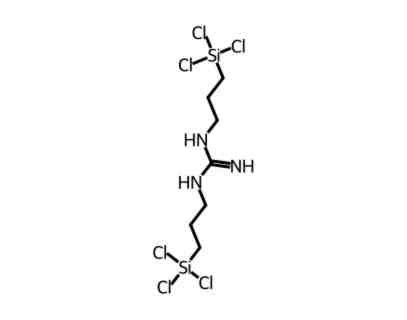 N=C(NCCC[Si](Cl)(Cl)Cl)NCCC[Si](Cl)(Cl)Cl